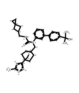 CC(C)(O)c1ccc(-c2cccc(N(CC34CCC(c5noc(C(F)(F)F)n5)(CC3)CC4)C(=O)NCC3CC4(CC4)C3)c2)cc1